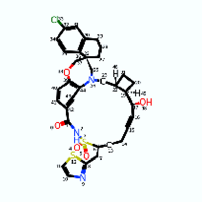 O=C1NS(=O)(=O)[C@H](Cc2nccs2)CC/C=C\[C@H](O)[C@@H]2CC[C@H]2CN2C[C@@]3(CCCc4cc(Cl)ccc43)COc3ccc1cc32